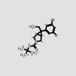 CCC1(c2cc(F)cc(Br)c2)C2CN(C(=O)OC(C)(C)C)CC21